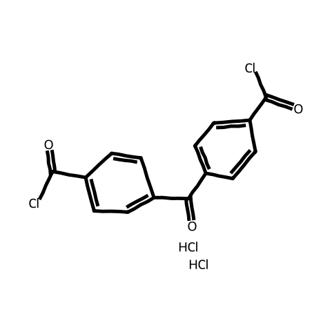 Cl.Cl.O=C(Cl)c1ccc(C(=O)c2ccc(C(=O)Cl)cc2)cc1